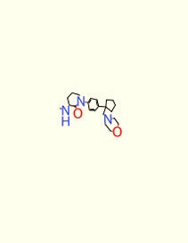 CNC1CCCN(c2ccc(C3(CN4CCOCC4)CCCC3)cc2)C1=O